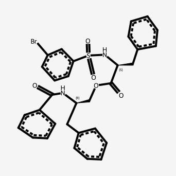 O=C(N[C@@H](COC(=O)[C@H](Cc1ccccc1)NS(=O)(=O)c1cccc(Br)c1)Cc1ccccc1)c1ccccc1